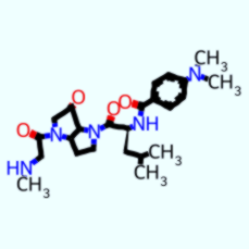 CNCC(=O)N1CC(=O)C2C1CCN2C(=O)[C@H](CC(C)C)NC(=O)c1ccc(N(C)C)cc1